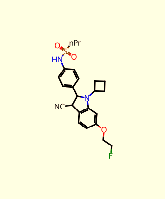 CCCS(=O)(=O)Nc1ccc(C2C(C#N)c3ccc(OCCF)cc3N2C2CCC2)cc1